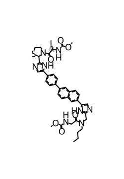 CCCCN(Cc1ncc(-c2ccc3cc(-c4ccc(-c5cnc(C6SCCN6C(=O)[C@@H](I)NC(=O)OC)[nH]5)cc4)ccc3c2)[nH]1)C(=O)CNC(=O)OC